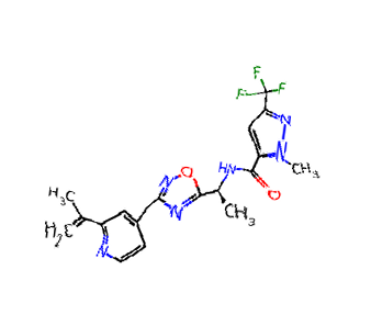 C=C(C)c1cc(-c2noc([C@H](C)NC(=O)c3cc(C(F)(F)F)nn3C)n2)ccn1